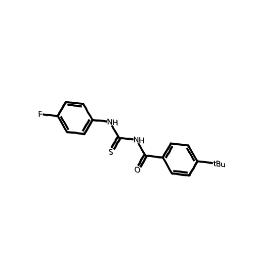 CC(C)(C)c1ccc(C(=O)NC(=S)Nc2ccc(F)cc2)cc1